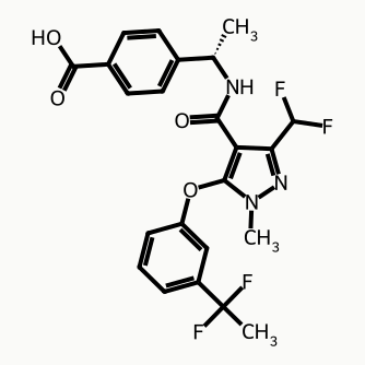 C[C@H](NC(=O)c1c(C(F)F)nn(C)c1Oc1cccc(C(C)(F)F)c1)c1ccc(C(=O)O)cc1